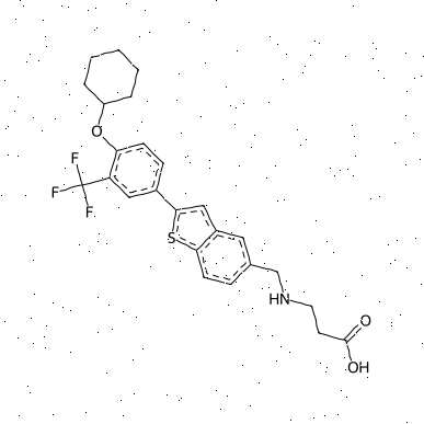 O=C(O)CCNCc1ccc2sc(-c3ccc(OC4CCCCC4)c(C(F)(F)F)c3)cc2c1